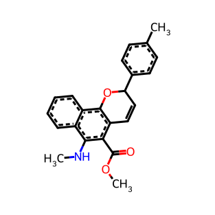 CNc1c(C(=O)OC)c2c(c3ccccc13)OC(c1ccc(C)cc1)C=C2